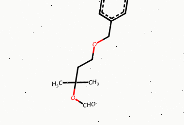 CC(C)(CCOCc1ccccc1)O[C]=O